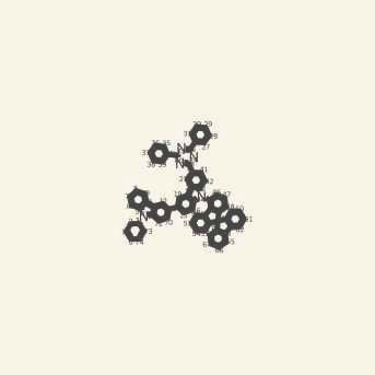 C1=CCC(n2c3ccccc3c3cc(-c4ccc5c(c4)c4cc(-c6nc(-c7ccccc7)nc(-c7ccccc7)n6)ccc4n5-c4cccc5c4-c4ccccc4C54c5ccccc5-c5ccccc54)ccc32)C=C1